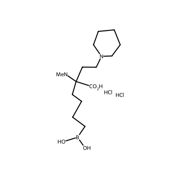 CNC(CCCCB(O)O)(CCN1CCCCC1)C(=O)O.Cl.Cl